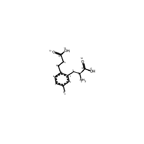 NC(Cc1cc(F)ccc1CCC(=O)O)C(=O)O